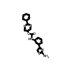 Nc1nc(-c2cccc(NC(=O)Oc3cnc(-c4ccccc4)nc3)c2)cs1